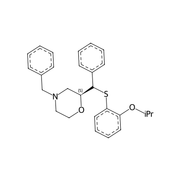 CC(C)Oc1ccccc1SC(c1ccccc1)[C@@H]1CN(Cc2ccccc2)CCO1